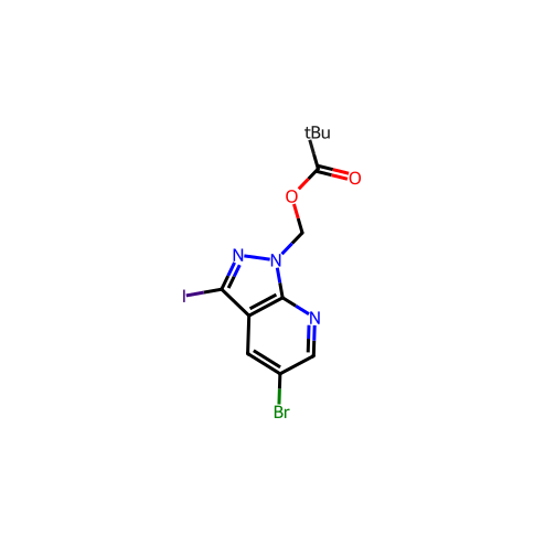 CC(C)(C)C(=O)OCn1nc(I)c2cc(Br)cnc21